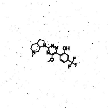 COc1nc(N2CCC3CCN(C)CC32)nnc1-c1ccc(C(F)(F)F)cc1O